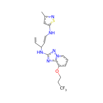 C=CC(/C=C/Nc1cc(C)ns1)Nc1nc2c(OCCC(F)(F)F)cccn2n1